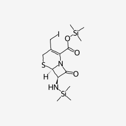 C[Si](C)(C)N[C@@H]1C(=O)N2C(C(=O)O[Si](C)(C)C)=C(CI)CS[C@H]12